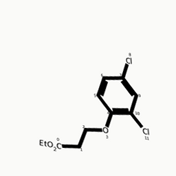 CCOC(=O)CCOc1ccc(Cl)cc1Cl